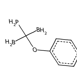 BC(B)(P)Oc1ccccc1